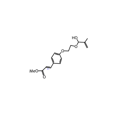 C=C(C)C(O)OCCOc1ccc(/C=C/C(=O)OC)cc1